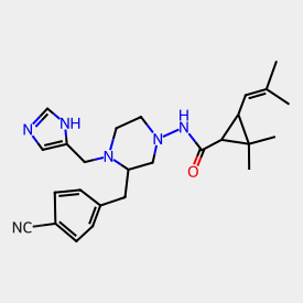 CC(C)=CC1C(C(=O)NN2CCN(Cc3cnc[nH]3)C(Cc3ccc(C#N)cc3)C2)C1(C)C